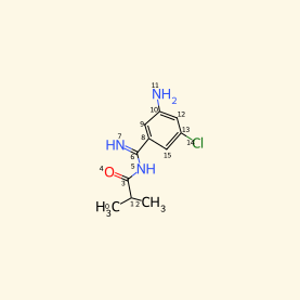 CC(C)C(=O)NC(=N)c1cc(N)cc(Cl)c1